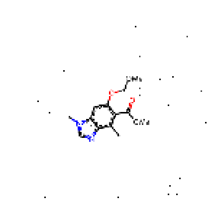 COCOc1cc2c(ncn2C)c(C)c1C(=O)OC